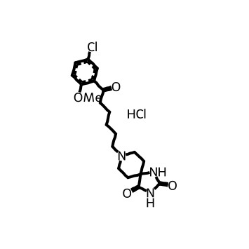 COc1ccc(Cl)cc1C(=O)CCCCCN1CCC2(CC1)NC(=O)NC2=O.Cl